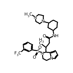 CC(CC(=O)NC1CCCC(N2CCN(C)CC2)C1)C1c2cccn2CCN1S(=O)(=O)c1cccc(C(F)(F)F)c1